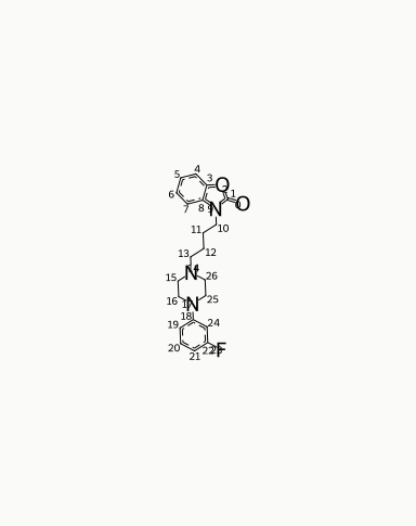 O=c1oc2ccccc2n1CCCCN1CCN(c2cccc(F)c2)CC1